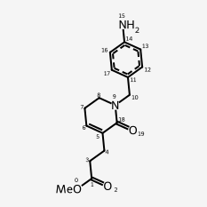 COC(=O)CCC1=CCCN(Cc2ccc(N)cc2)C1=O